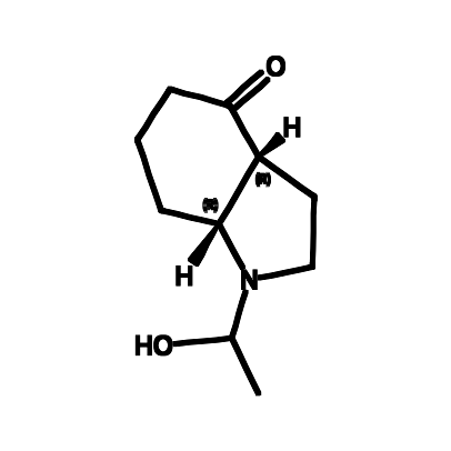 CC(O)N1CC[C@H]2C(=O)CCC[C@H]21